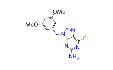 COc1cc(Cn2cnc3c(Cl)nc(N)nc32)cc(OC)c1